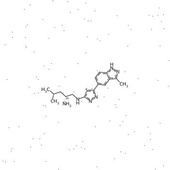 Cc1n[nH]c2ccc(-c3nnc(NC[C@H](N)CC(C)C)s3)cc12